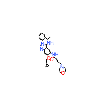 CC(Nc1ncnc2cc(OCC3CC3)c(NC(=O)C=CCN3CCOCC3)cc12)c1ccccc1